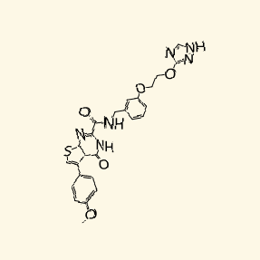 COc1ccc(C2=CSC3N=C(C(=O)NCc4cccc(OCCOc5nc[nH]n5)c4)NC(=O)C23)cc1